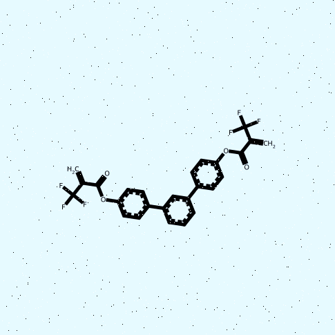 C=C(C(=O)Oc1ccc(-c2cccc(-c3ccc(OC(=O)C(=C)C(F)(F)F)cc3)c2)cc1)C(F)(F)F